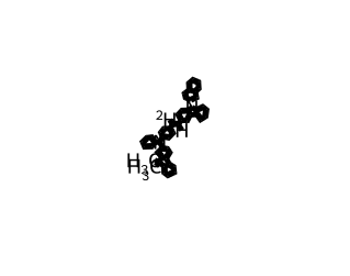 [2H]/C(=C(/[2H])c1ccc2c(c1)c1ccccc1n2-c1ccc2ccccc2c1)c1ccc(N(c2ccccc2)c2ccc3c(c2)C(C)(C)c2ccccc2-3)cc1